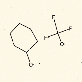 [O]C(F)(F)F.[O]C1CCCCC1